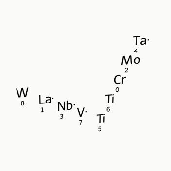 [Cr].[La].[Mo].[Nb].[Ta].[Ti].[Ti].[V].[W]